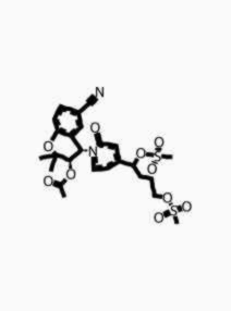 CC(=O)O[C@@H]1[C@@H](n2ccc(C(CCCOS(C)(=O)=O)OS(C)(=O)=O)cc2=O)c2cc(C#N)ccc2OC1(C)C